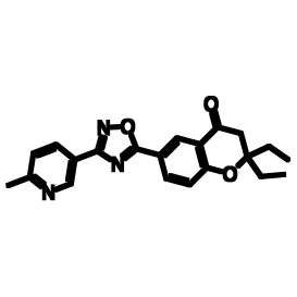 CCC1(CC)CC(=O)c2cc(-c3nc(-c4ccc(C)nc4)no3)ccc2O1